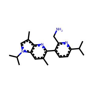 Cc1cc2c(nc1-c1ccc(C(C)C)nc1CN)c(C)cn2C(C)C